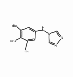 CC(=O)Oc1c(C(C)(C)C)cc(Nn2cnnc2)cc1C(C)(C)C